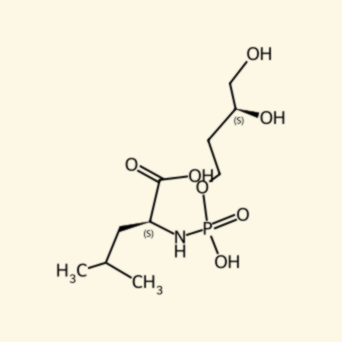 CC(C)C[C@H](NP(=O)(O)OCC[C@H](O)CO)C(=O)O